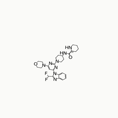 O=C(NC1CCN(c2nc(N3CCOCC3)cc(-n3c(C(F)F)nc4ccccc43)n2)CC1)[C@@H]1CCCCN1